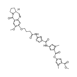 COC(=O)c1cc(OC(=O)c2cc(NC(=O)c3csc(NC(=O)CCCOc4cc5c(cc4OC)C(=O)N4CCC[C@H]4C=N5)n3)cn2C)cn1C